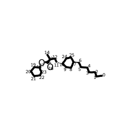 CCCCCCC[C@H]1CC[C@H](CCC(C)C(=O)OC2CCCCC2)CC1